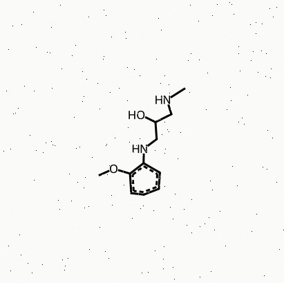 CNCC(O)CNc1ccccc1OC